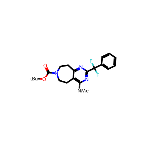 CNc1nc(C(F)(F)c2ccccc2)nc2c1CCN(C(=O)OC(C)(C)C)CC2